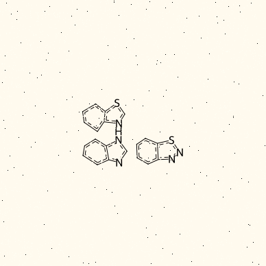 c1ccc2[nH]cnc2c1.c1ccc2scnc2c1.c1ccc2snnc2c1